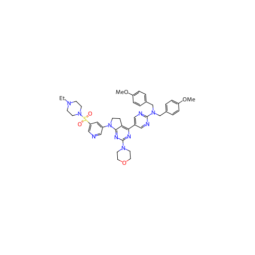 CCN1CCN(S(=O)(=O)c2cncc(N3CCc4c(-c5cnc(N(Cc6ccc(OC)cc6)Cc6ccc(OC)cc6)nc5)nc(N5CCOCC5)nc43)c2)CC1